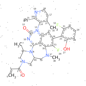 C=CC(=O)N1CC(C)N2c3nc(=O)n(-c4c(C)ccnc4C(C)C)c4cc(-c5c(O)cccc5F)c(F)c(c34)N(C)CC2C1